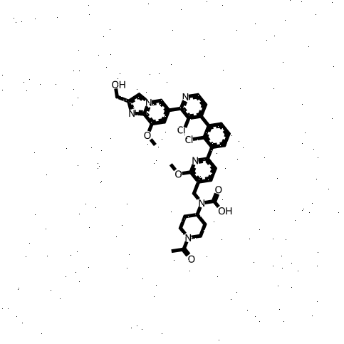 COc1nc(-c2cccc(-c3ccnc(-c4cc(OC)c5nc(CO)cn5c4)c3Cl)c2Cl)ccc1CN(C(=O)O)C1CCN(C(C)=O)CC1